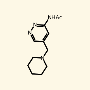 CC(=O)Nc1cc(CN2CCCCC2)cnn1